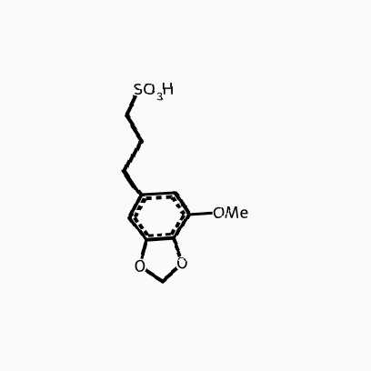 COc1cc(CCCS(=O)(=O)O)cc2c1OCO2